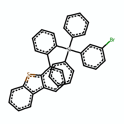 Brc1cccc([Si](c2ccccc2)(c2ccccc2)c2ccccc2-c2cccc3c2sc2ccccc23)c1